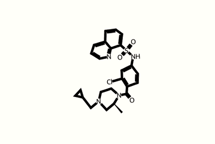 C[C@H]1CN(CC2CC2)CCN1C(=O)c1ccc(NS(=O)(=O)c2cccc3cccnc23)cc1Cl